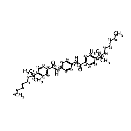 CCCCCC[Si](C)(C)c1ccc(C(=O)Nc2ccc(NC(=O)c3ccc([Si](C)(C)CCCCCC)cc3)cc2)cc1